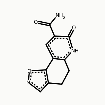 NC(=O)c1cc2c([nH]c1=O)CCc1cnoc1-2